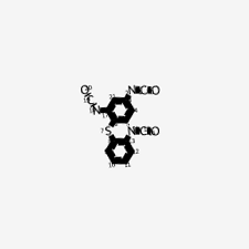 O=C=Nc1ccc(Sc2ccccc2N=C=O)c(N=C=O)c1